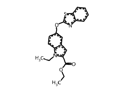 CCOC(=O)c1cc2cc(Oc3nc4ccccc4s3)ccc2n1CC